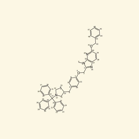 Cn1c(COc2ccc(CC3CN(C(c4ccccc4)(c4ccccc4)c4ccccc4)CS3)cc2)nc2ccc(OCc3ccccc3)nc21